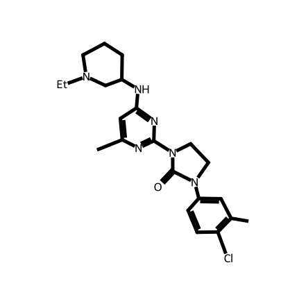 CCN1CCCC(Nc2cc(C)nc(N3CCN(c4ccc(Cl)c(C)c4)C3=O)n2)C1